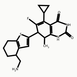 CC1c2[nH]c(=O)[nH]c(=O)c2C(C2CC2)=C(F)C1c1cc2c(s1)CCCC2CN